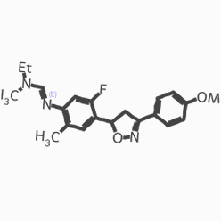 CCN(C)/C=N/c1cc(F)c(C2CC(c3ccc(OC)cc3)=NO2)cc1C